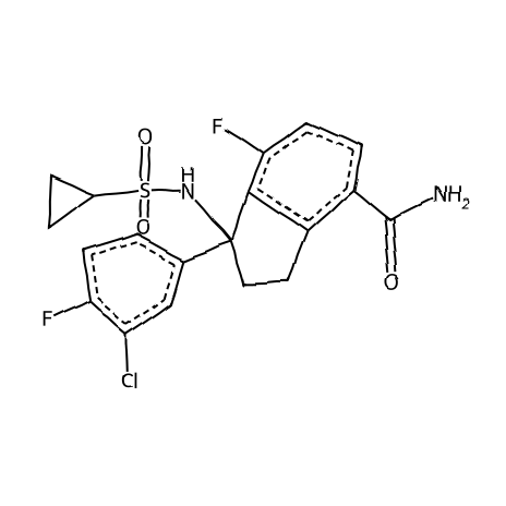 NC(=O)c1ccc(F)c2c1CCC2(NS(=O)(=O)C1CC1)c1ccc(F)c(Cl)c1